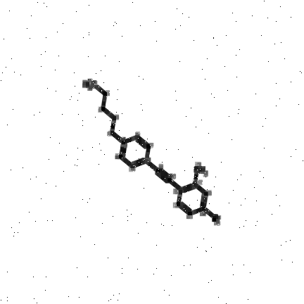 CCCCCc1ccc(C#Cc2ccc(Br)cc2C)cc1